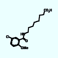 COc1ccc(Cl)cc1C(=O)NCCCCCCCC(=O)O